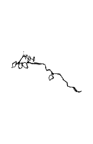 CCCCCCCC(=O)CCCCCC(=O)N[C@@H](C)C(=O)OC